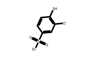 CCS(=O)(=O)c1ccc(S)c(Cl)c1